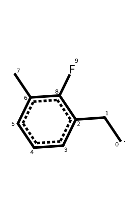 [CH2]Cc1cccc(C)c1F